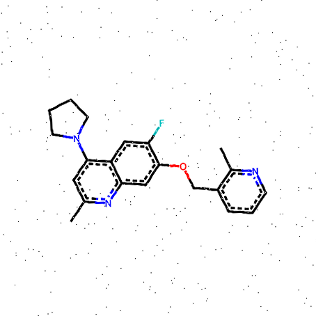 Cc1cc(N2CCCC2)c2cc(F)c(OCc3cccnc3C)cc2n1